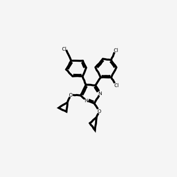 Clc1ccc(-c2c(OC3CC3)nc(OC3CC3)nc2-c2ccc(Cl)cc2Cl)cc1